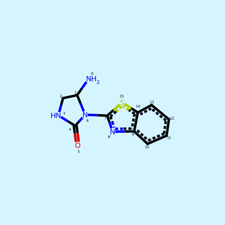 NC1CNC(=O)N1c1nc2ccccc2s1